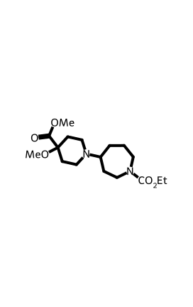 CCOC(=O)N1CCCC(N2CCC(OC)(C(=O)OC)CC2)CC1